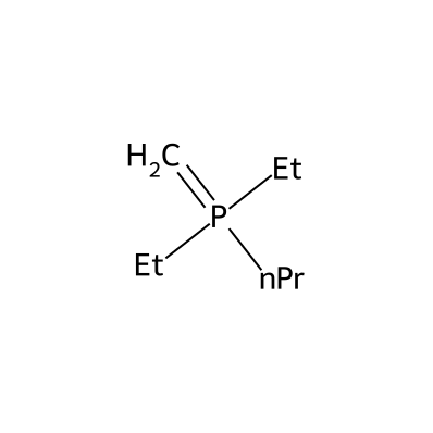 C=P(CC)(CC)CCC